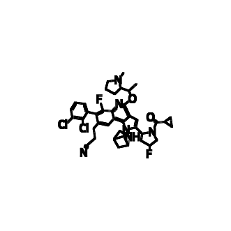 CC(Oc1nc2c(F)c(-c3cccc(Cl)c3Cl)c(CCC#N)cc2c2c1cc(C1CC(F)CN1C(=O)C1CC1)n2C1C2CNC1C2)C1CCCN1C